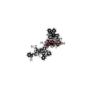 CCCC[C@](N)(NC(=O)[C@@H](N)Cc1c[nH]c2ccccc12)C(=O)N[C@@H](Cc1c[nH]c2ccccc12)C(=O)N[C@@H](COC1CCCCO1)C(=O)N(CCC)CC(=O)N(C)[C@H]1Cc2cc(Cl)ccc2N([C@H]2Cc3ncn(C(c4ccccc4)(c4ccccc4)c4ccccc4)c3N(CC(=O)N3CCC[C@H]3C(=O)N[C@@H](CC(=O)O)C(=O)N3CCC[C@H]3C(=O)OC(C)(C)c3ccccc3)C2=O)C1=O